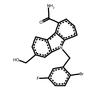 NC(=O)c1cccc2c1c1[c]cc(CO)cc1n2Cc1cc(F)ccc1Br